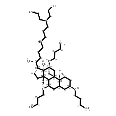 C[C@H](CCCNCCCN(CCS)CCS)[C@H]1CC[C@H]2C3[C@H](OCCCN)CC4C[C@H](OCCCN)CC[C@]4(C)[C@H]3C[C@H](OCCCN)[C@]12C